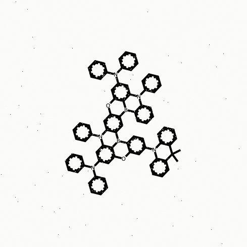 CC1(C)c2ccccc2N(c2ccc3c(c2)Oc2cc(N(c4ccccc4)c4ccccc4)cc4c2B3c2cc3c(cc2N4c2ccccc2)Oc2cc(N(c4ccccc4)c4ccccc4)cc4c2B3c2ccccc2N4c2ccccc2)c2ccccc21